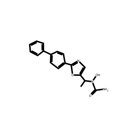 CC(c1cnc(-c2ccc(-c3ccccc3)cc2)o1)N(O)C(N)=O